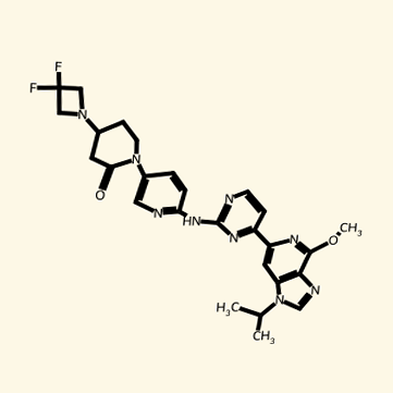 COc1nc(-c2ccnc(Nc3ccc(N4CCC(N5CC(F)(F)C5)CC4=O)cn3)n2)cc2c1ncn2C(C)C